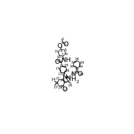 CC(=O)OC1CCC(NC(=O)c2ccc(-n3nc(C)c4c3CC(C)(C)CC4=O)cc2)CC1.NC(=O)c1ccccc1